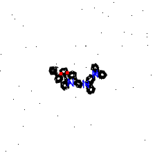 c1ccc(-c2cccc([Si]3(c4ccccc4)c4ccccc4-n4c5ccc(-n6c7ccccc7c7cc(-n8c9ccccc9c9ccccc98)ccc76)cc5c5cccc3c54)c2)cc1